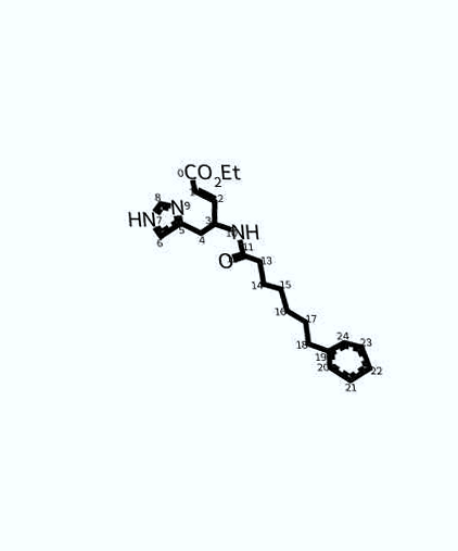 CCOC(=O)C=CC(Cc1c[nH]cn1)NC(=O)CCCCCCc1ccccc1